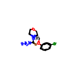 NC(=S)N1CCOC[C@@H]1COc1cccc(Br)c1